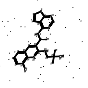 C[C@H](Nc1ncnc2sccc12)c1cc2cccc(Cl)c2nc1NCC(C)(C)O